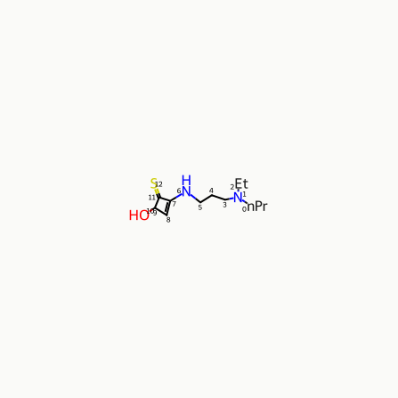 CCCN(CC)CCCNC1=CC(O)C1=S